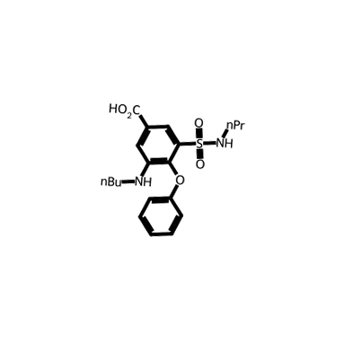 CCCCNc1cc(C(=O)O)cc(S(=O)(=O)NCCC)c1Oc1ccccc1